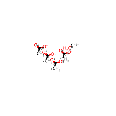 CC(=O)[O-].CC(=O)[O-].CC(=O)[O-].CC(=O)[O-].O.[Cr+4]